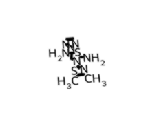 Cc1nc(N2CC(N)(n3nccn3)SC2N)sc1C